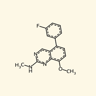 CNc1ncc2c(-c3cccc(F)c3)ccc(OC)c2n1